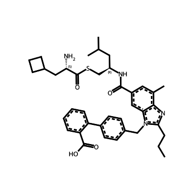 CCCc1nc2c(C)cc(C(=O)N[C@@H](CSC(=O)[C@@H](N)CC3CCC3)CC(C)C)cc2n1Cc1ccc(-c2ccccc2C(=O)O)cc1